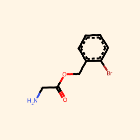 N[CH]C(=O)OCc1ccccc1Br